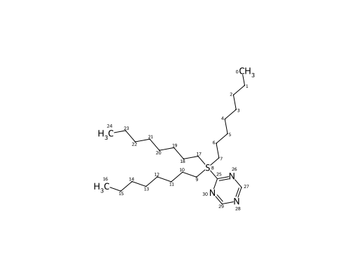 CCCCCCCCS(CCCCCCCC)(CCCCCCCC)c1ncncn1